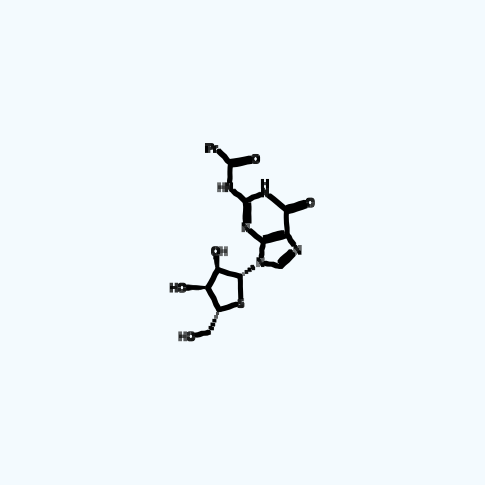 CC(C)C(=O)Nc1nc2c(ncn2[C@@H]2S[C@H](CO)[C@@H](O)[C@H]2O)c(=O)[nH]1